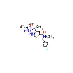 CC(C)CC1(CC(C)C)NC(=N)N(C(C)c2cccc(C(=O)N(C)Cc3ccc(F)cc3)c2)C1=O